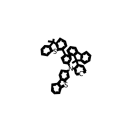 CC1(C)c2ccccc2Sc2c(-c3ccc(N(c4ccc5c(c4)sc4ccccc45)c4ccccc4C4(C)c5ccccc5-c5ccccc54)cc3)cccc21